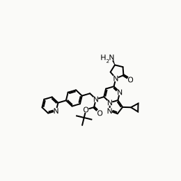 CC(C)(C)OC(=O)N(Cc1ccc(-c2ccccn2)cc1)c1cc(N2C[C@@H](N)CC2=O)nc2c(C3CC3)cnn12